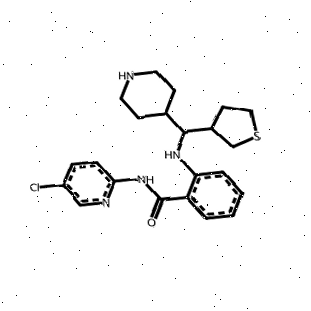 O=C(Nc1ccc(Cl)cn1)c1ccccc1NC(C1CCNCC1)C1CCSC1